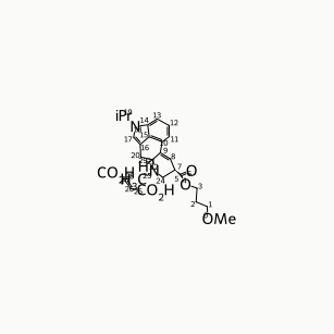 COCCCOC(=O)[C@@H]1C=C2c3cccc4c3c(cn4C(C)C)C[C@H]2N(C)C1.O=C(O)/C=C\C(=O)O